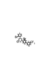 O=C1C=C(c2ccccc2Br)CC(c2ccc(-c3cccc(C(F)(F)F)c3)cc2Br)C1